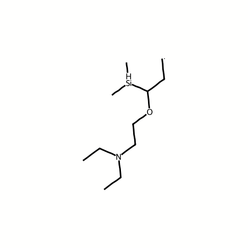 [CH2]CC(OCCN(CC)CC)[SiH](C)C